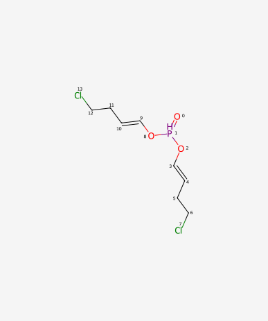 O=[PH](OC=CCCCl)OC=CCCCl